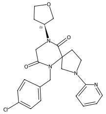 O=C1CN([C@H]2CCOC2)C(=O)C2(CCN(c3ccccn3)C2)N1Cc1ccc(Cl)cc1